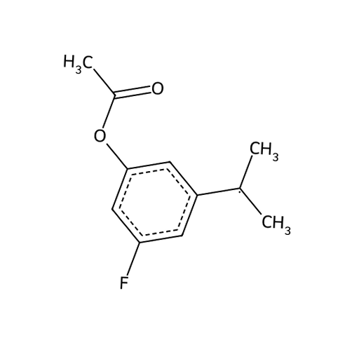 C[C](C)c1cc(F)cc(OC(C)=O)c1